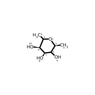 CC1O[C@@H](C)C(O)[C@@H](O)[C@H]1O